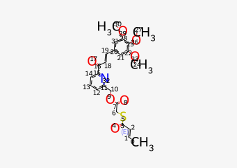 C/C=C/C(=O)SCC(=O)OCc1cccc(C(=O)C=Cc2cc(OC)c(OC)c(OC)c2)n1